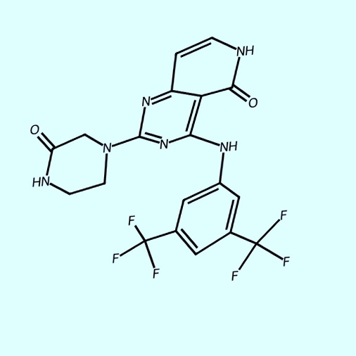 O=C1CN(c2nc(Nc3cc(C(F)(F)F)cc(C(F)(F)F)c3)c3c(=O)[nH]ccc3n2)CCN1